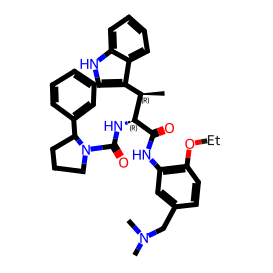 CCOc1ccc(CN(C)C)cc1NC(=O)[C@H](NC(=O)N1CCCC1c1ccccc1)[C@H](C)c1c[nH]c2ccccc12